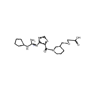 N/C(=N\c1ncsc1C(=O)N1CCCC(COCC(=O)O)C1)NC1CCCC1